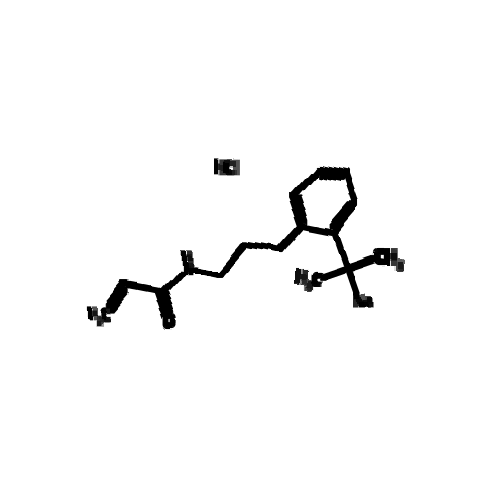 C=CC(=O)NCCCc1ccccc1[C](C)(C)[Na].Cl